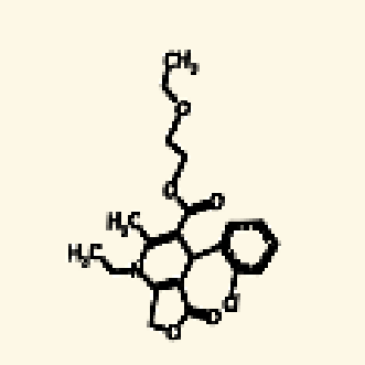 CCOCCOC(=O)C1=C(C)N(CC)C2=C(C(=O)OC2)C1c1ccccc1Cl